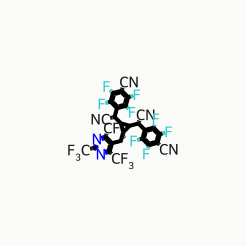 N#Cc1c(F)c(F)c(C(C#N)C2C(Cc3c(C(F)(F)F)nc(C(F)(F)F)nc3C(F)(F)F)C2C(C#N)c2c(F)c(F)c(C#N)c(F)c2F)c(F)c1F